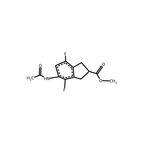 COC(=O)C1Cc2c(F)cc(NC(C)=O)c(F)c2C1